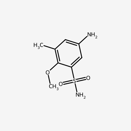 COc1c(C)cc(N)cc1S(N)(=O)=O